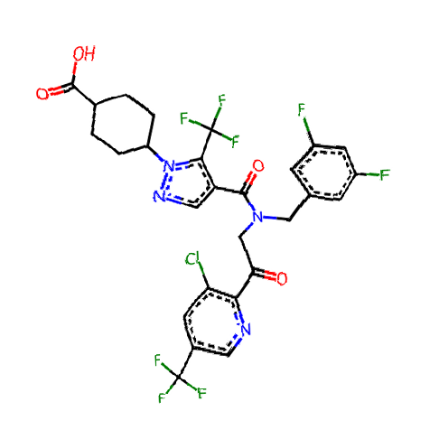 O=C(CN(Cc1cc(F)cc(F)c1)C(=O)c1cnn(C2CCC(C(=O)O)CC2)c1C(F)(F)F)c1ncc(C(F)(F)F)cc1Cl